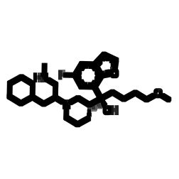 CNCC(CC1CCCCC1)N1CCC[C@@H]([C@@](O)(CCCCOC)c2cc(F)cc3ccoc23)C1